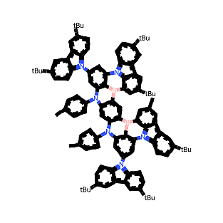 Cc1ccc(N2c3cc4c(cc3B3c5c2cc(-n2c6ccc(C(C)(C)C)cc6c6cc(C(C)(C)C)ccc62)cc5-n2c5ccc(C(C)(C)C)cc5c5cc(C)cc3c52)B2c3c(cc(-n5c6ccc(C(C)(C)C)cc6c6cc(C(C)(C)C)ccc65)cc3-n3c5ccc(C(C)(C)C)cc5c5cc(C(C)(C)C)cc2c53)N4c2ccc(C)cc2)cc1